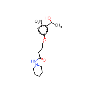 CC(O)c1cc(OCCCC(=O)NN2CCCCC2)ccc1[N+](=O)[O-]